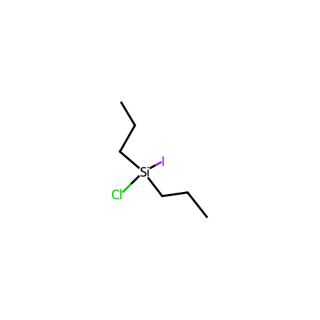 CCC[Si](Cl)(I)CCC